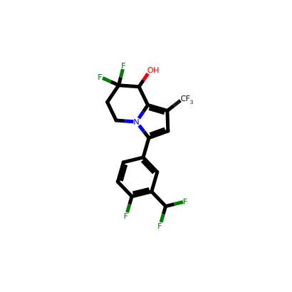 OC1c2c(C(F)(F)F)cc(-c3ccc(F)c(C(F)F)c3)n2CCC1(F)F